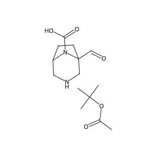 CC(=O)OC(C)(C)C.O=CC12CCC(CNC1)N2C(=O)O